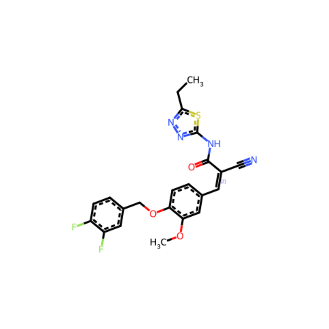 CCc1nnc(NC(=O)/C(C#N)=C\c2ccc(OCc3ccc(F)c(F)c3)c(OC)c2)s1